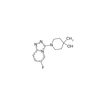 CC1(O)CCN(c2nnc3ccc(F)cn23)CC1